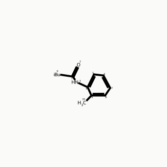 CCC(C)C(=O)Nc1ccccc1C